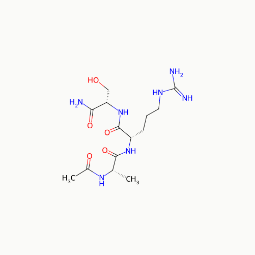 CC(=O)N[C@@H](C)C(=O)N[C@@H](CCCNC(=N)N)C(=O)N[C@@H](CO)C(N)=O